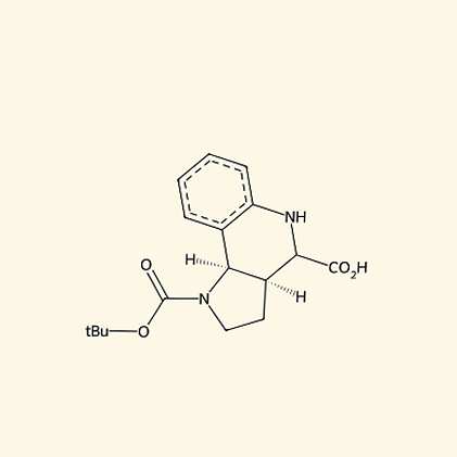 CC(C)(C)OC(=O)N1CC[C@@H]2C(C(=O)O)Nc3ccccc3[C@@H]21